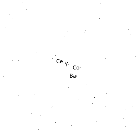 [Ba].[Ce].[Co].[Y]